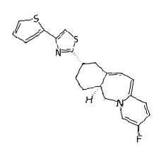 FC1=CN2C[C@H]3CC[C@H](c4nc(-c5cccs5)cs4)CC3=CC=C2C=C1